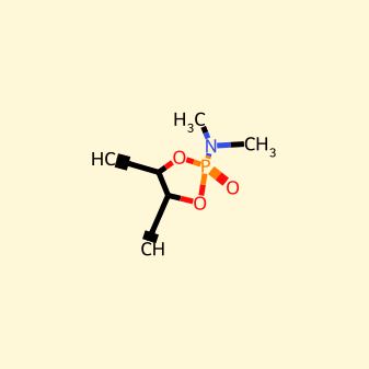 C#CC1OP(=O)(N(C)C)OC1C#C